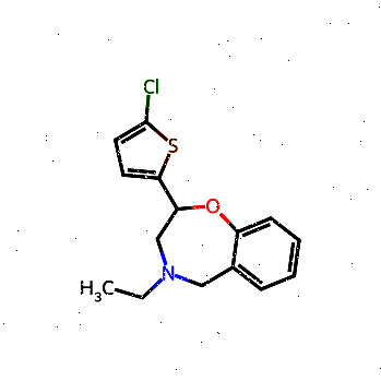 CCN1Cc2ccccc2OC(c2ccc(Cl)s2)C1